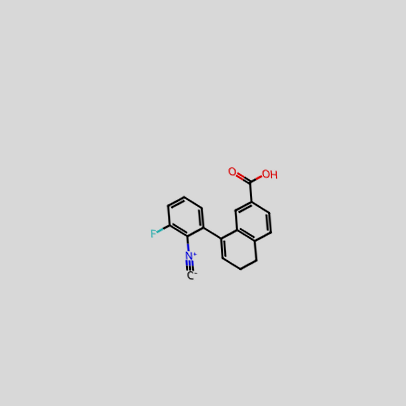 [C-]#[N+]c1c(F)cccc1C1=CCCc2ccc(C(=O)O)cc21